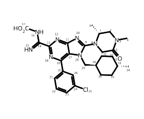 C[C@@H]1CN(C)C(=O)CN1c1nc2nc(C(=N)NC(=O)O)nc(-c3cccc(Cl)c3)c2n1C[C@H]1CC[C@H](C)CC1